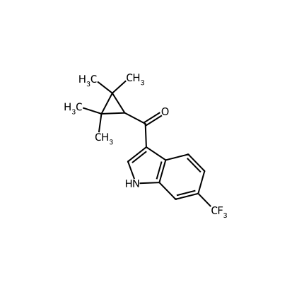 CC1(C)C(C(=O)c2c[nH]c3cc(C(F)(F)F)ccc23)C1(C)C